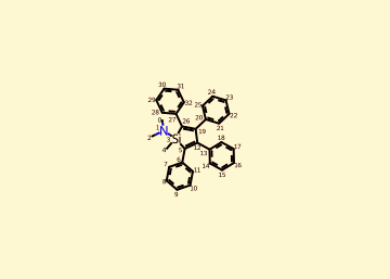 CN(C)[Si]1(C)C(c2ccccc2)=C(c2ccccc2)C(c2ccccc2)=C1c1ccccc1